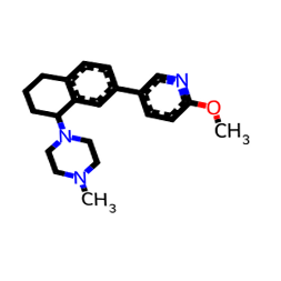 COc1ccc(-c2ccc3c(c2)C(N2CCN(C)CC2)CCC3)cn1